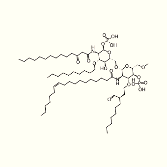 CCCCCC/C=C\CCCCCCCCCC(=O)N[C@H]1[C@H](OC[C@H]2O[C@H](OP(=O)(O)O)[C@H](NC(=O)CC(=O)CCCCCCCCCCC)[C@@H](OCCCCCCCCCC)[C@@H]2O)O[C@H](COC)[C@@H](OP(=O)(O)O)[C@@H]1OCC[C@H](C=O)CCCCCCC